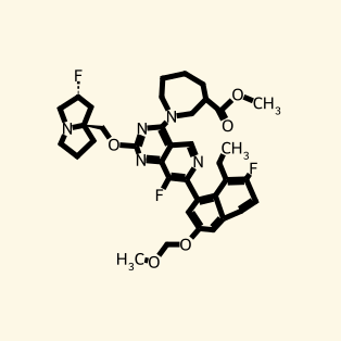 CCc1c(F)ccc2cc(OCOC)cc(-c3ncc4c(N5CCCCC(C(=O)OC)C5)nc(OC[C@@]56CCCN5C[C@H](F)C6)nc4c3F)c12